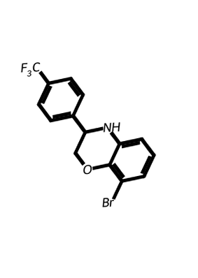 FC(F)(F)c1ccc(C2COc3c(Br)cccc3N2)cc1